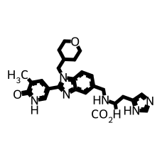 Cc1cc(-c2nc3cc(CNC(Cc4cnc[nH]4)C(=O)O)ccc3n2CC2CCOCC2)c[nH]c1=O